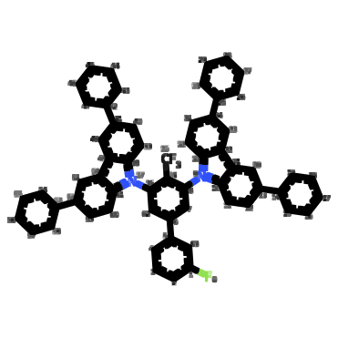 Fc1cccc(-c2cc(-n3c4ccc(-c5ccccc5)cc4c4cc(-c5ccccc5)ccc43)c(C(F)(F)F)c(-n3c4ccc(-c5ccccc5)cc4c4cc(-c5ccccc5)ccc43)c2)c1